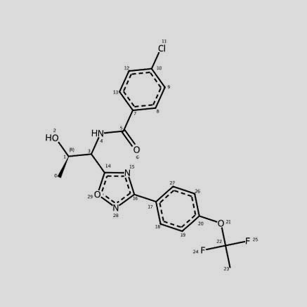 C[C@@H](O)C(NC(=O)c1ccc(Cl)cc1)c1nc(-c2ccc(OC(C)(F)F)cc2)no1